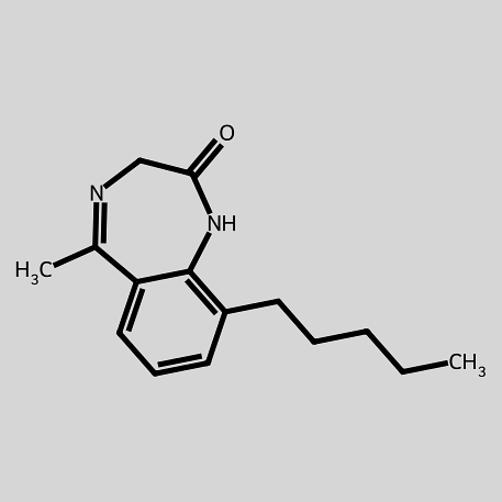 CCCCCc1cccc2c1NC(=O)CN=C2C